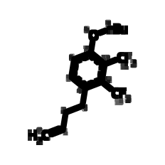 C=CCCc1ccc(OCCCC)c(C(F)(F)F)c1C(F)(F)F